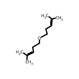 CC(C)=CCCOCCC=C(C)C